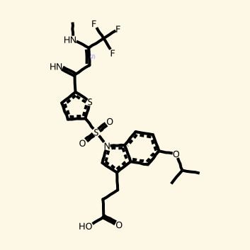 CN/C(=C\C(=N)c1ccc(S(=O)(=O)n2cc(CCC(=O)O)c3cc(OC(C)C)ccc32)s1)C(F)(F)F